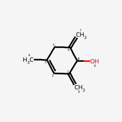 C=C1C=C(C)CC(=C)C1O